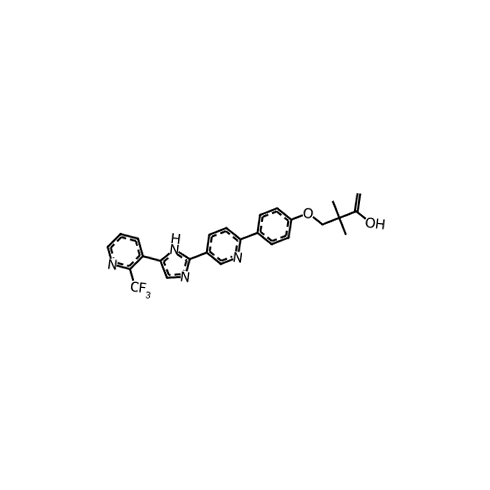 C=C(O)C(C)(C)COc1ccc(-c2ccc(-c3ncc(-c4cccnc4C(F)(F)F)[nH]3)cn2)cc1